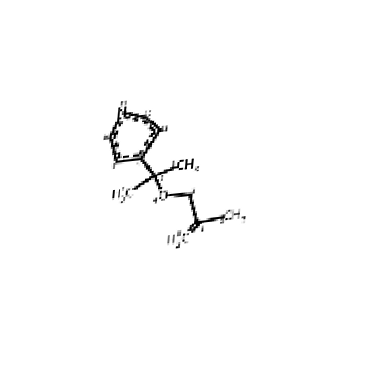 C=C(C)COC(C)(C)c1ccncc1